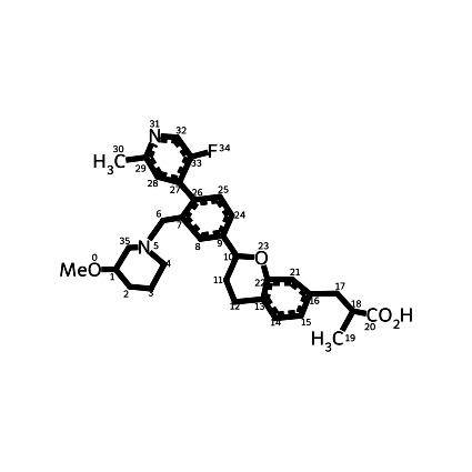 COC1CCCN(Cc2cc(C3CCc4ccc(CC(C)C(=O)O)cc4O3)ccc2-c2cc(C)ncc2F)C1